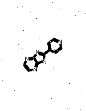 c1cc(-c2nc3nccnc3s2)ccn1